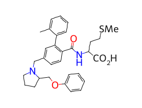 CSCCC(NC(=O)c1ccc(CN2CCCC2COc2ccccc2)cc1-c1ccccc1C)C(=O)O